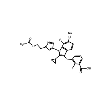 NC(=O)OCCn1cc(-n2c(C3CC3)c(Sc3cccc(C(=O)O)c3F)c3ccc(Cl)c(F)c32)cn1.[Na]